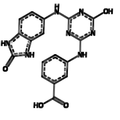 O=C(O)c1cccc(Nc2nc(O)nc(Nc3ccc4[nH]c(=O)[nH]c4c3)n2)c1